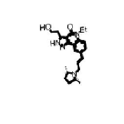 CCn1c(=O)c2c(CCO)[nH]nc2c2cc(C=CCN3[C@@H](C)CC[C@@H]3C)ccc21